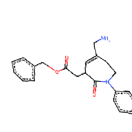 NCC1=CC(CC(=O)OCc2ccccc2)C(=O)N(c2ccccc2)CC1